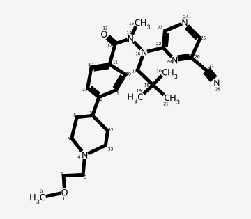 COCCN1CCC(c2ccc(C(=O)N(C)N(CC(C)(C)C)c3cncc(C#N)n3)cc2)CC1